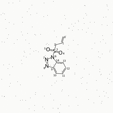 C=CCS(=O)(=O)n1nnc2ccccc21